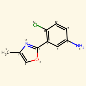 Cc1coc(-c2cc(N)ccc2Cl)n1